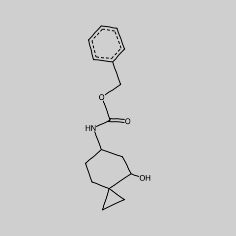 O=C(NC1CCC2(CC2)C(O)C1)OCc1ccccc1